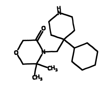 CC1(C)COCC(=O)N1CC1(C2CCCCC2)CCNCC1